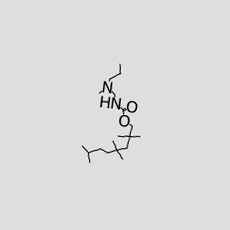 CCCN(C)CNC(=O)OCC(C)(C)CC(C)(C)CCC(C)C